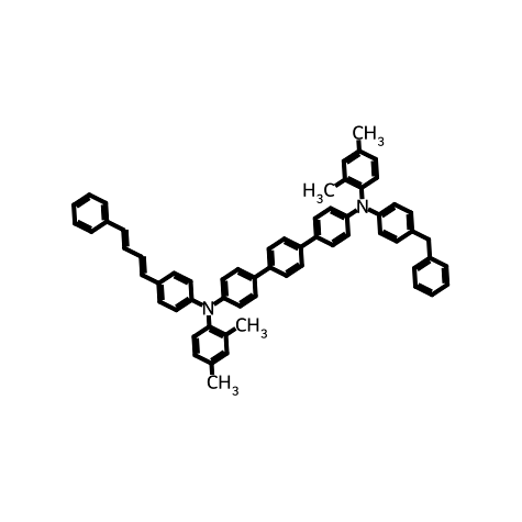 Cc1ccc(N(c2ccc(C=CC=Cc3ccccc3)cc2)c2ccc(-c3ccc(-c4ccc(N(c5ccc(Cc6ccccc6)cc5)c5ccc(C)cc5C)cc4)cc3)cc2)c(C)c1